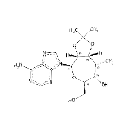 C[C@@H]1[C@H](O)[C@@H](CO)O[C@@H](n2cnc3c(N)ncnc32)[C@@H]2OC(C)(C)O[C@H]12